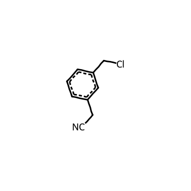 N#CCc1cccc(CCl)c1